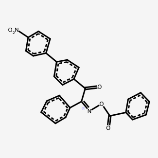 O=C(O/N=C(\C(=O)c1ccc(-c2ccc([N+](=O)[O-])cc2)cc1)c1ccccc1)c1ccccc1